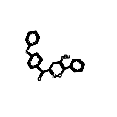 CCCCC1=C(c2ccccc2)ON=C(C(=O)c2ccc(Sc3ccccc3)cc2)C1